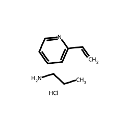 C=Cc1ccccn1.CCCN.Cl